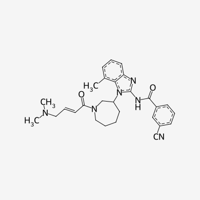 Cc1cccc2nc(NC(=O)c3cccc(C#N)c3)n(C3CCCCN(C(=O)C=CCN(C)C)C3)c12